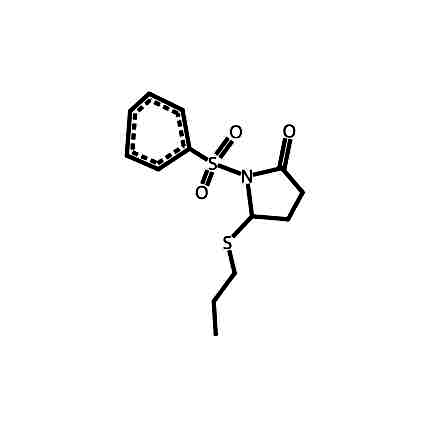 CCCSC1CCC(=O)N1S(=O)(=O)c1ccccc1